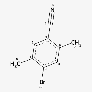 Cc1cc(C#N)c(C)cc1Br